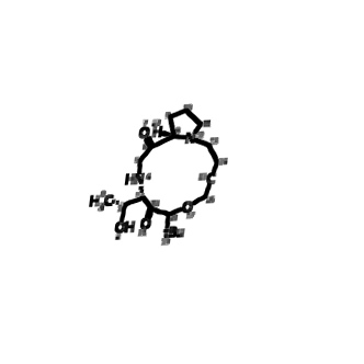 C[C@@H](O)[C@@H]1NCC(=O)[C@@H]2CCCN2CCCCOC(C(C)(C)C)C1=O